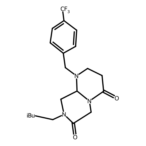 CCC(C)CN1CC2N(Cc3ccc(C(F)(F)F)cc3)CCC(=O)N2CC1=O